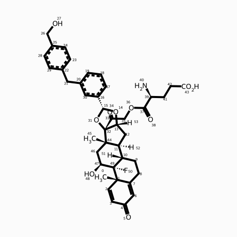 C[C@]12C=CC(=O)C=C1CC[C@H]1[C@@H]3C[C@H]4O[C@@H](c5cccc(Cc6ccc(CO)cc6)c5)O[C@@]4(C(=O)COC(=O)[C@@H](N)CCC(=O)O)[C@@]3(C)C[C@H](O)[C@@]12F